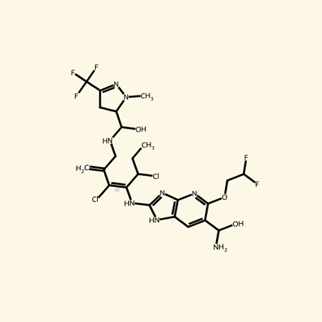 C=C(CNC(O)C1CC(C(F)(F)F)=NN1C)/C(Cl)=C(/Nc1nc2nc(OCC(F)F)c(C(N)O)cc2[nH]1)C(Cl)CC